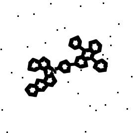 c1ccc(-c2c3ccccc3c(-c3ccccc3)c3cc(-c4ccc(-n5c6ccc7ccccc7c6c6c7cc8ccccc8cc7ccc65)cc4)ccc23)cc1